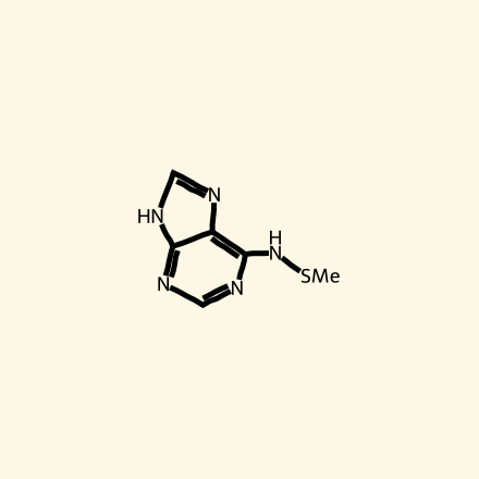 CSNc1ncnc2[nH]cnc12